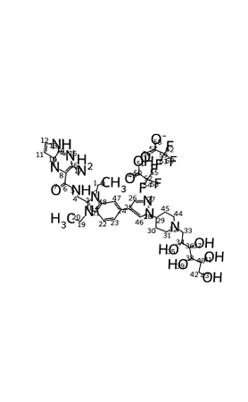 CCn1c(CNC(=O)c2nc3cc[nH]c3nc2N)[n+](CC)c2ccc(-c3cnn(C4CCN(C[C@H](O)[C@@H](O)[C@H](O)[C@H](O)CO)CC4)c3)cc21.O=C(O)C(F)(F)F.O=C([O-])C(F)(F)F